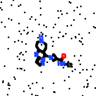 CCNC(=O)C1CN(c2c3c(nc4ccnn24)CCNCC3)C1